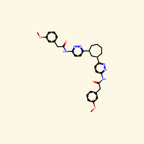 COc1cccc(CC(=O)Nc2ccc(C3CCCCC(c4ccc(NC(=O)Cc5cccc(OC)c5)nn4)C3)nn2)c1